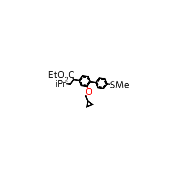 CCOC(=O)C(CC(C)C)c1ccc(-c2ccc(SC)cc2)c(OCC2CC2)c1